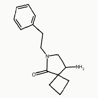 NC1CN(CCc2ccccc2)C(=O)C12CCC2